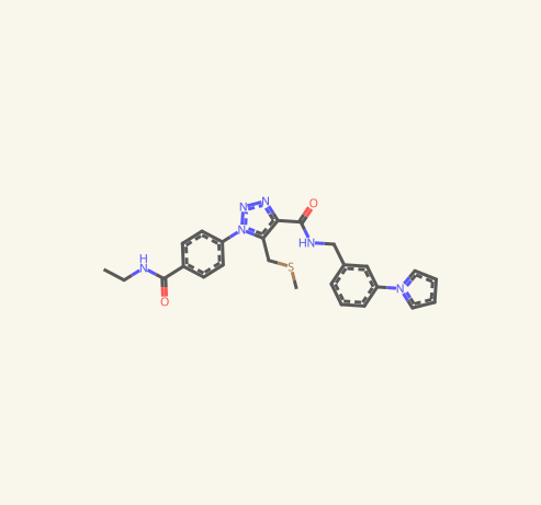 CCNC(=O)c1ccc(-n2nnc(C(=O)NCc3cccc(-n4cccc4)c3)c2CSC)cc1